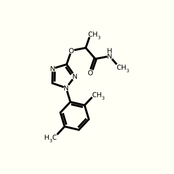 CNC(=O)C(C)Oc1ncn(-c2cc(C)ccc2C)n1